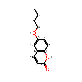 CCCCOc1ccc2oc(=O)ccc2c1